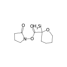 O=C1CCCN1OC(=O)C1([SiH3])CCCCO1